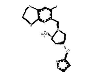 C[C@H]1C[C@@H](Oc2ccsn2)CN1Cc1nc2c(cc1F)OCCO2